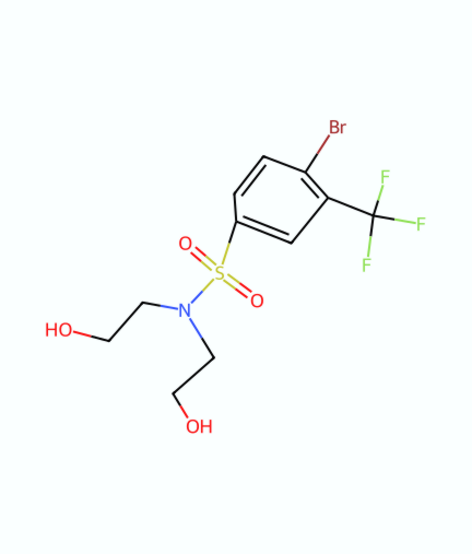 O=S(=O)(c1ccc(Br)c(C(F)(F)F)c1)N(CCO)CCO